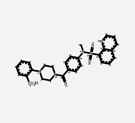 CCOC(=O)c1ccccc1N1CCN(C(=O)c2ccc(N(C)S(=O)(=O)c3cccc4cccnc34)cc2)CC1